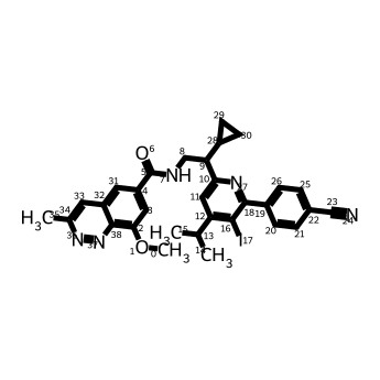 COc1cc(C(=O)NCC(c2cc(C(C)C)c(I)c(-c3ccc(C#N)cc3)n2)C2CC2)cc2cc(C)nnc12